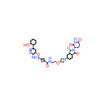 Nc1nnc(-c2ccccc2O)cc1OCC12CC(C(=O)NCCOC3CN(c4ccc5c(c4)C(=O)N(C4CCC(=O)NC4=O)C5=O)C3)(C1)C2